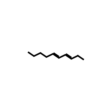 C[CH]/C=C/C=C/CCCC